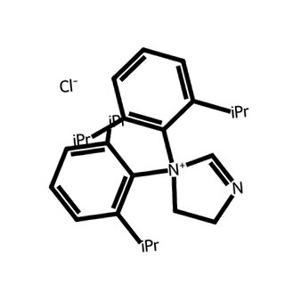 CC(C)c1cccc(C(C)C)c1[N+]1(c2c(C(C)C)cccc2C(C)C)C=NCC1.[Cl-]